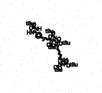 CC(C)(C)OC(=O)/N=C(/N(CCCCCCCN/C(=N\C(=O)OC(C)(C)C)NC(=O)OC(C)(C)C)C(=O)OC(C)(C)C)N(CCCSc1ccc(C(=N)NC(=O)OC(C)(C)C)cc1)C(=O)OC(C)(C)C